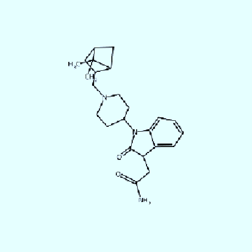 CC1(C)C2CC(CN3CCC(N4C(=O)C(CC(N)=O)c5ccccc54)CC3)C1C2